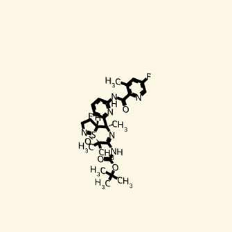 Cc1cc(F)cnc1C(=O)Nc1ccc(F)c([C@@]2(C)N=C(NC(=O)OC(C)(C)C)C(C)(C)[S@]3(=O)=NCC[C@H]23)n1